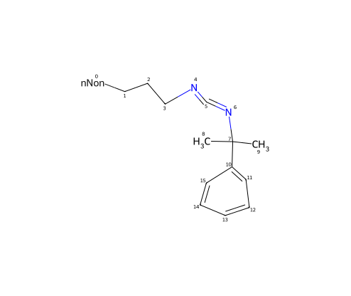 CCCCCCCCCCCCN=C=NC(C)(C)c1ccccc1